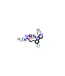 C=N/C(N)=C(\C=C/Cc1cc(Cl)cc2c3ccnc(C)c3n(C)c12)OC